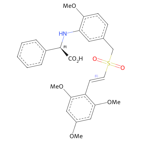 COc1cc(OC)c(/C=C/S(=O)(=O)Cc2ccc(OC)c(N[C@@H](C(=O)O)c3ccccc3)c2)c(OC)c1